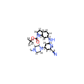 CN1CCN(c2cc(C#N)nc(Nc3ccc4ccn(C(=O)OC(C)(C)C)c4c3)c2)CC1